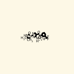 CN(C(=O)c1cnc(N2CC(C)(C)NC2=O)nc1N)c1cccc(C(F)(F)F)c1.[H+]